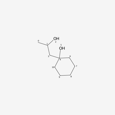 CC(O)CC1(O)CCCCC1